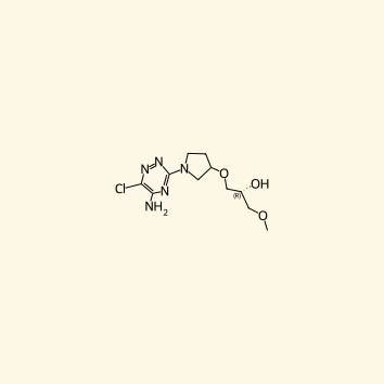 COC[C@@H](O)COC1CCN(c2nnc(Cl)c(N)n2)C1